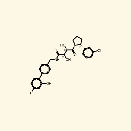 O=C(NCc1ccc(-c2ccc(F)cc2O)cc1)[C@H](O)[C@@H](O)C(=O)N1CCC[C@@H]1c1cccc(Cl)c1